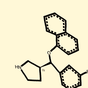 Fc1cncc(C(Oc2cccc3ccccc23)[C@H]2CCNC2)c1